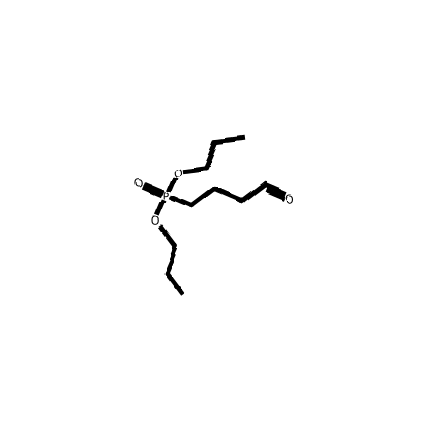 CCCOP(=O)(CCCC=O)OCCC